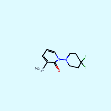 O=C(O)c1cccn(N2CCC(F)(F)CC2)c1=O